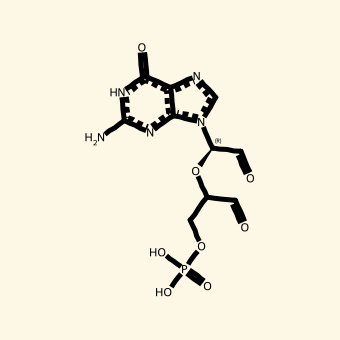 Nc1nc2c(ncn2[C@@H](C=O)OC(C=O)COP(=O)(O)O)c(=O)[nH]1